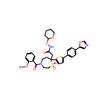 CCOc1ccccc1C(=O)N1CCC(CC(=O)NOC2CCCCO2)(c2ccc(-c3ccc(-c4cnco4)cc3)s2)S(=O)(=O)CC1